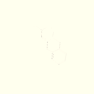 CN(C)C=C1Cc2ccccc2C[S+]1[O-]